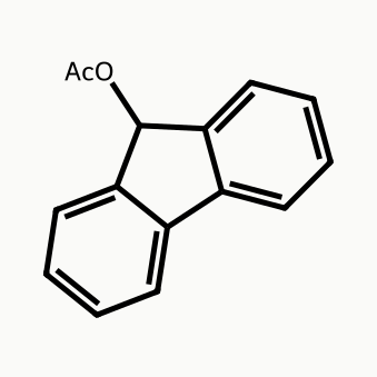 CC(=O)OC1c2ccccc2-c2ccccc21